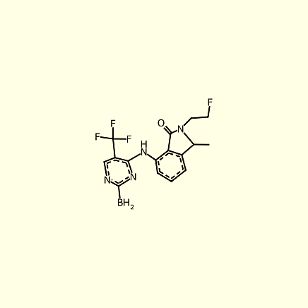 Bc1ncc(C(F)(F)F)c(Nc2cccc3c2C(=O)N(CCF)C3C)n1